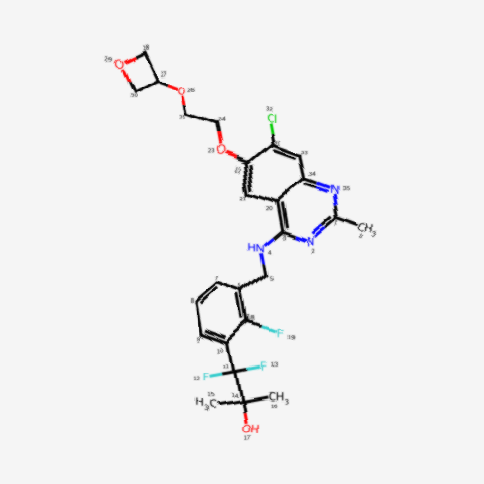 Cc1nc(NCc2cccc(C(F)(F)C(C)(C)O)c2F)c2cc(OCCOC3COC3)c(Cl)cc2n1